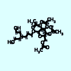 CC(=O)OCC1OC(OCCCN(CCO)CCO)C(OC(C)=O)C(OC(C)=O)C1OC(C)=O